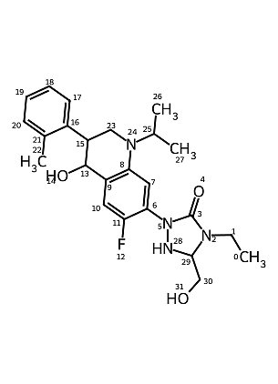 CCN1C(=O)N(c2cc3c(cc2F)C(O)C(c2ccccc2C)CN3C(C)C)NC1CO